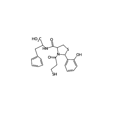 O=C(O)C(Cc1ccccc1)NC(=O)C1CSC(c2ccccc2O)N1C(=O)CCS